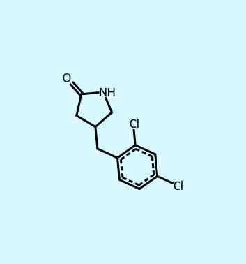 O=C1CC(Cc2ccc(Cl)cc2Cl)CN1